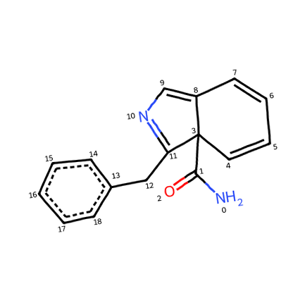 NC(=O)C12C=CC=CC1=CN=C2Cc1ccccc1